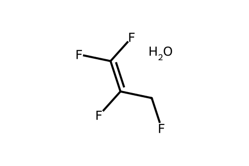 FCC(F)=C(F)F.O